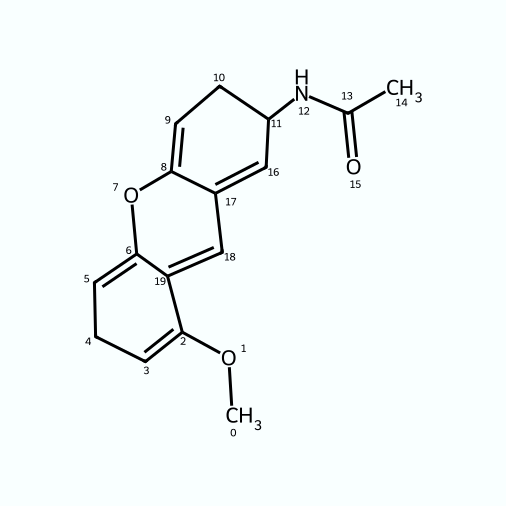 COC1=CCC=C2OC3=CCC(NC(C)=O)C=C3C=C12